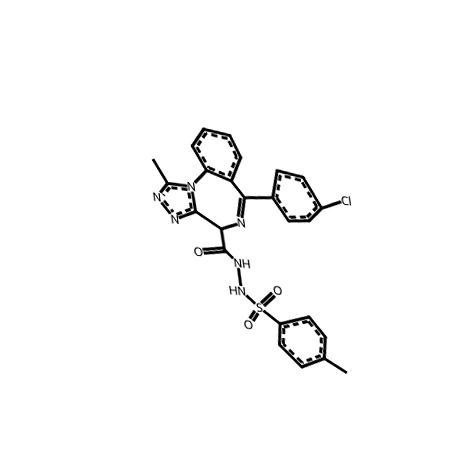 Cc1ccc(S(=O)(=O)NNC(=O)C2N=C(c3ccc(Cl)cc3)c3ccccc3-n3c(C)nnc32)cc1